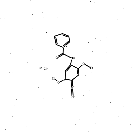 CCOC1=CC(=[N+]=[N-])C(OCC)C=C1NC(=O)c1ccccc1.Cl.[Zn]